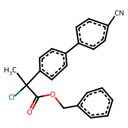 CC(Cl)(C(=O)OCc1ccccc1)c1ccc(-c2ccc(C#N)cc2)cc1